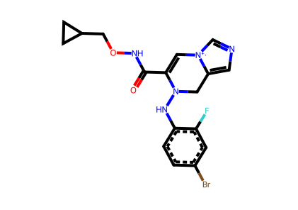 O=C(NOCC1CC1)C1=C[N+]2C=NC=C2CN1Nc1ccc(Br)cc1F